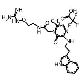 Cc1cnc(NCCc2c[nH]c3ccccc23)c(=O)n1CC(=O)NCCONC(=N)N.O=C(O)C(F)(F)F